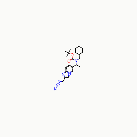 CC(c1ccc2nc(CN=[N+]=[N-])cn2c1)N(CC1CCCCC1)C(=O)OC(C)(C)C